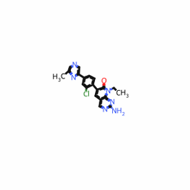 CCn1c(=O)c(-c2ccc(-c3cncc(C)n3)cc2Cl)cc2cnc(N)nc21